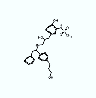 CS(=O)(=O)Nc1cc(C[C@H](O)CNC(Cc2ccccc2)c2ccc(OCCO)cc2)ccc1O